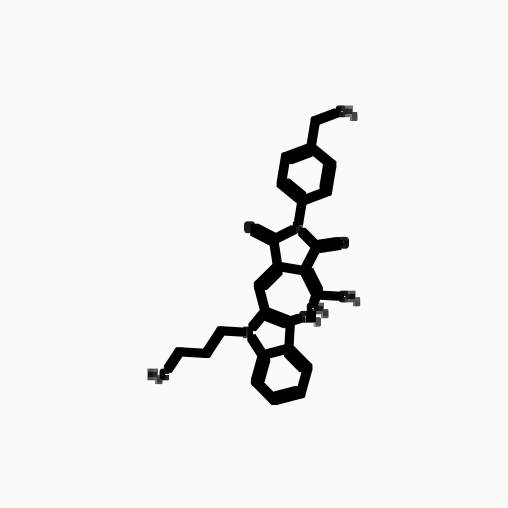 CCCCn1c(/C=C2/C(=O)N(c3ccc(CC)cc3)C(=O)C2=C(C)C)c(C)c2ccccc21